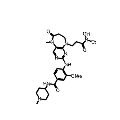 CCN(O)C(=O)CCN1CCC(=O)N(C)c2cnc(Nc3ccc(C(=O)NC4CCN(C)CC4)cc3OC)nc21